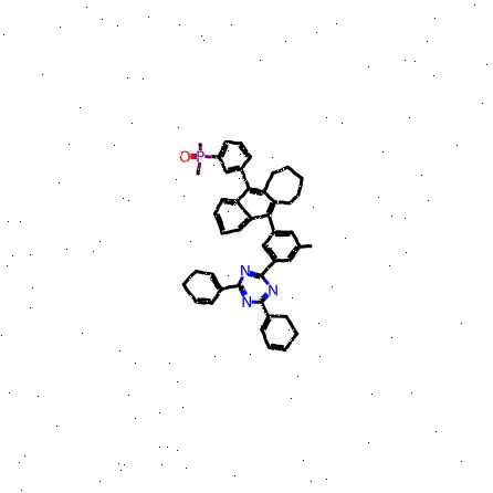 Cc1cc(-c2nc(C3=CCCC=C3)nc(C3=CC=CCC3)n2)cc(-c2c3c(c(-c4cccc(P(C)(C)=O)c4)c4ccccc24)CCCCC3)c1